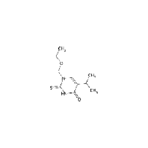 CCOCn1cc(C(C)C)c(=O)[nH]c1=S